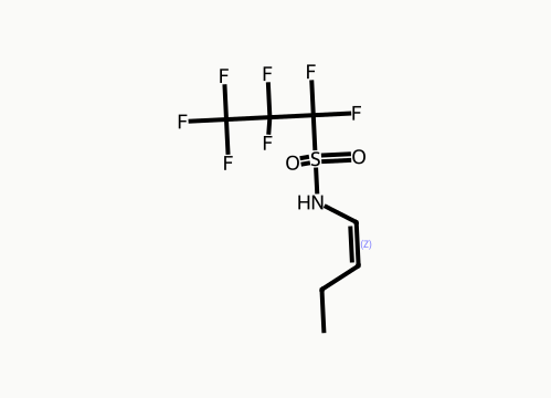 CC/C=C\NS(=O)(=O)C(F)(F)C(F)(F)C(F)(F)F